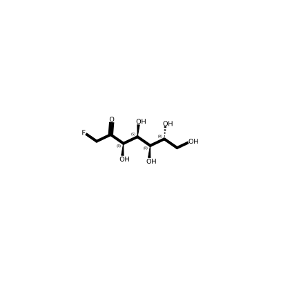 O=C(CF)[C@H](O)[C@@H](O)[C@H](O)[C@H](O)CO